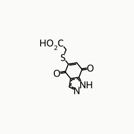 O=C(O)CSC1=CC(=O)c2[nH]ncc2C1=O